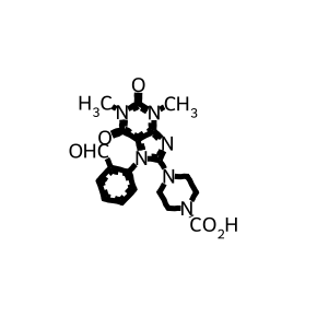 Cn1c(=O)c2c(nc(N3CCN(C(=O)O)CC3)n2-c2ccccc2C=O)n(C)c1=O